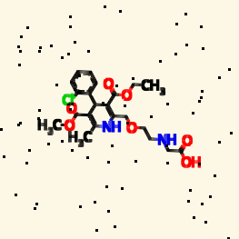 CCOC(=O)C1=C(COCCNCC(=O)O)NC(C)=C(C(=O)OC)C1c1ccccc1Cl